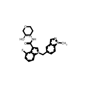 Cn1ncc2cc(Cn3cc(C(=O)N[C@H]4CCOC[C@@H]4O)c4c(F)cccc43)ccc21